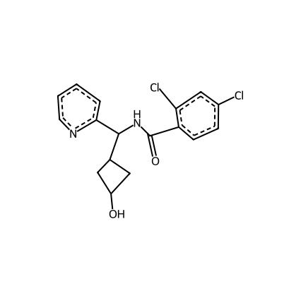 O=C(NC(c1ccccn1)C1CC(O)C1)c1ccc(Cl)cc1Cl